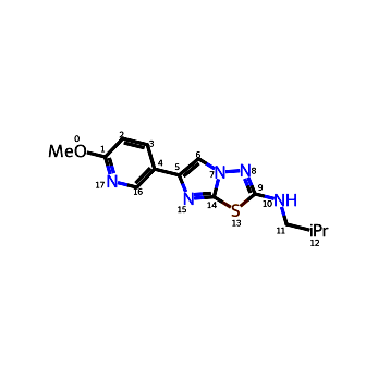 COc1ccc(-c2cn3nc(NCC(C)C)sc3n2)cn1